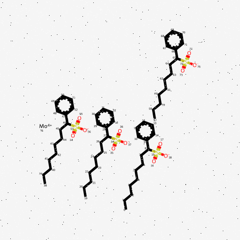 CCCCCCCCC(c1ccccc1)S(=O)(=O)[O-].CCCCCCCCC(c1ccccc1)S(=O)(=O)[O-].CCCCCCCCC(c1ccccc1)S(=O)(=O)[O-].CCCCCCCCC(c1ccccc1)S(=O)(=O)[O-].[Mo+4]